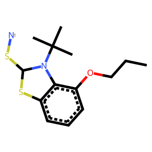 CCCOc1cccc2c1N(C(C)(C)C)C(S[N])S2